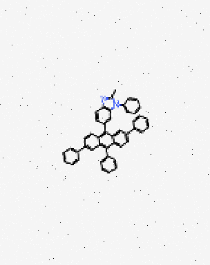 Cc1nc2ccc(-c3c4ccc(-c5ccccc5)cc4c(-c4ccccc4)c4ccc(-c5ccccc5)cc34)cc2n1-c1ccccc1